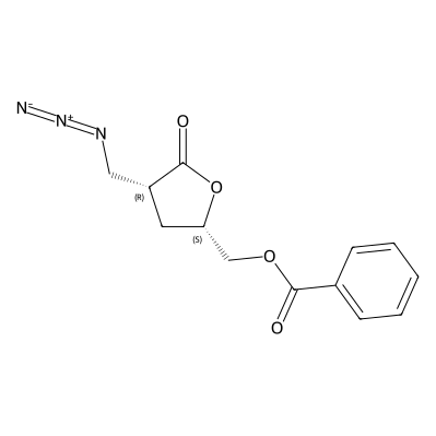 [N-]=[N+]=NC[C@H]1C[C@@H](COC(=O)c2ccccc2)OC1=O